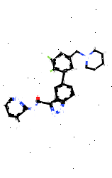 O=C(Nc1ncccc1C(F)(F)F)c1n[nH]c2ccc(-c3cc(CN4CCCCC4)cc(F)c3F)cc12